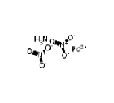 N.O=[N+]([O-])[O-].O=[N+]([O-])[O-].[Pd+2]